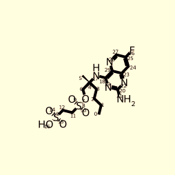 CCCC[C@](C)(COS(=O)(=O)CCS(=O)(=O)O)Nc1nc(N)nc2cc(F)cnc12